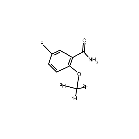 [2H]C([2H])([2H])Oc1ccc(F)cc1C(N)=O